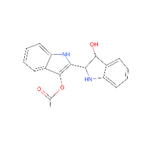 CC(=O)Oc1c(C2Nc3ccccc3C2O)[nH]c2ccccc12